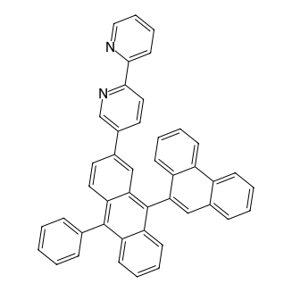 c1ccc(-c2c3ccccc3c(-c3cc4ccccc4c4ccccc34)c3cc(-c4ccc(-c5ccccn5)nc4)ccc23)cc1